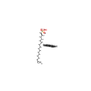 CCCCCCCCCCCCCCC=CS(=O)(=O)O.[NaH].[NaH].[NaH].[NaH].[NaH].[NaH].[NaH]